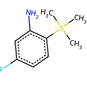 CS(C)(C)c1ccc(F)cc1N